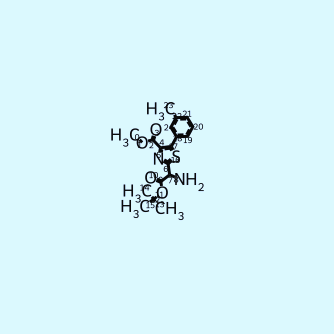 COC(=O)c1nc(C(N)C(=O)OC(C)(C)C)sc1-c1cccc(C)c1